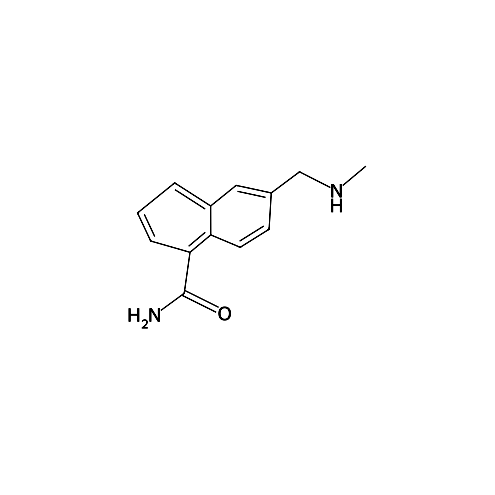 CNCc1ccc2c(C(N)=O)cccc2c1